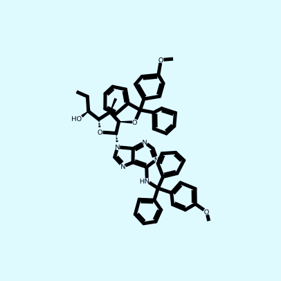 CC[C@H](O)[C@H]1O[C@@H](n2cnc3c(NC(c4ccccc4)(c4ccccc4)c4ccc(OC)cc4)ncnc32)[C@H](OC(c2ccccc2)(c2ccccc2)c2ccc(OC)cc2)[C@@H]1C